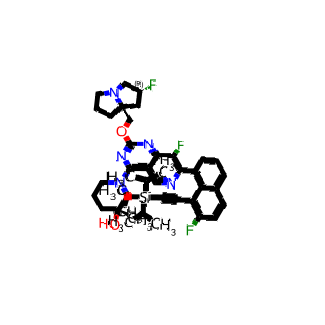 CC(C)[Si](C#Cc1c(F)ccc2cccc(-c3ncc4c(N5CCC[C@@](C)(O)C5)nc(OC[C@@]56CCCN5C[C@H](F)C6)nc4c3F)c12)(C(C)C)C(C)C